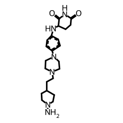 NN1CCC(CCN2CCN(c3ccc(NC4CCC(=O)NC4=O)cc3)CC2)CC1